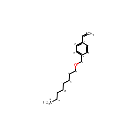 C=Cc1ccc(COCCCCCCCC(=O)O)cc1